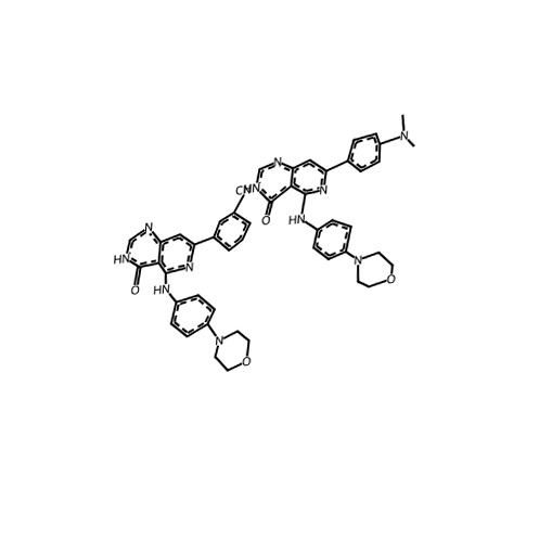 CN(C)c1ccc(-c2cc3nc[nH]c(=O)c3c(Nc3ccc(N4CCOCC4)cc3)n2)cc1.N#Cc1cccc(-c2cc3nc[nH]c(=O)c3c(Nc3ccc(N4CCOCC4)cc3)n2)c1